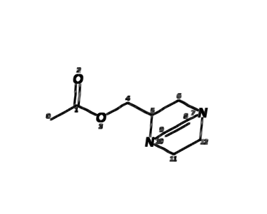 CC(=O)OCC1CN2C=CN1CC2